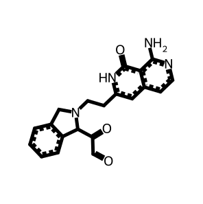 Nc1nccc2cc(CCN3Cc4ccccc4C3C(=O)C=O)[nH]c(=O)c12